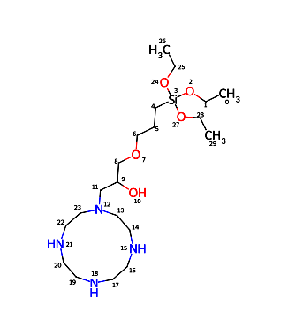 CCO[Si](CCCOCC(O)CN1CCNCCNCCNCC1)(OCC)OCC